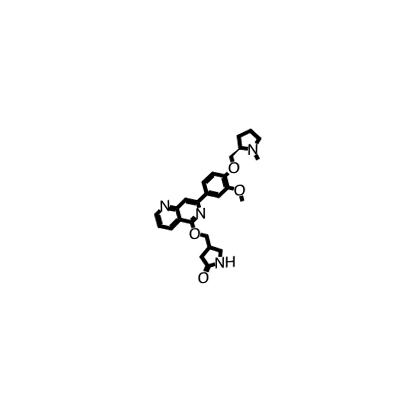 COc1cc(-c2cc3ncccc3c(OCC3CNC(=O)C3)n2)ccc1OC[C@H]1CCCN1C